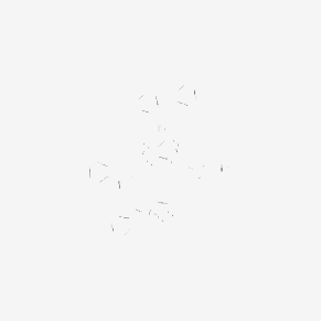 CCn1cc([C@@H]2O[C@@H](n3cnc4c(NCC(c5ccccc5)c5ccccc5)nc(CNS(=O)(=O)CC(C)C)nc43)[C@H](OC(=O)c3ccccc3)[C@@H]2OC(=O)c2ccccc2)nn1